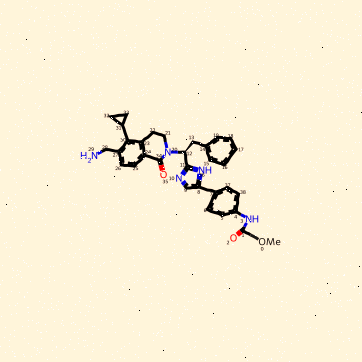 COC(=O)Nc1ccc(-c2cnc([C@H](Cc3ccccc3)N3CCc4c(ccc(CN)c4C4CC4)C3=O)[nH]2)cc1